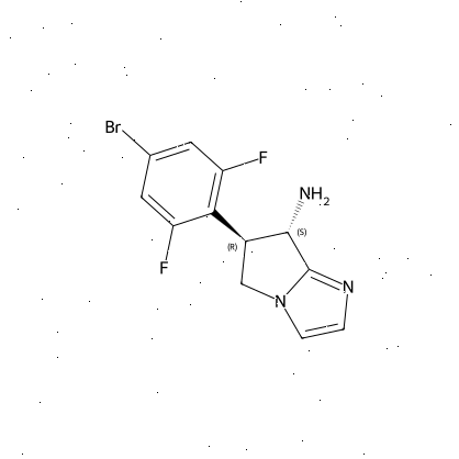 N[C@@H]1c2nccn2C[C@H]1c1c(F)cc(Br)cc1F